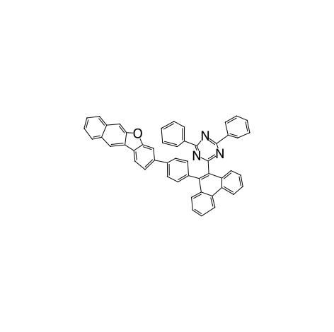 c1ccc(-c2nc(-c3ccccc3)nc(-c3c(-c4ccc(-c5ccc6c(c5)oc5cc7ccccc7cc56)cc4)c4ccccc4c4ccccc34)n2)cc1